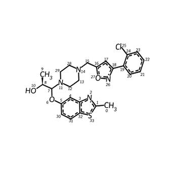 Cc1nc2cc(OC([C@H](C)O)N3CCN(Cc4cc(-c5ccccc5Cl)no4)CC3)ccc2s1